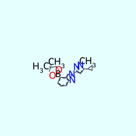 Cn1nc(-n2cc3c(B4OCC(C)(C)CO4)cccc3n2)cc1C1CC1